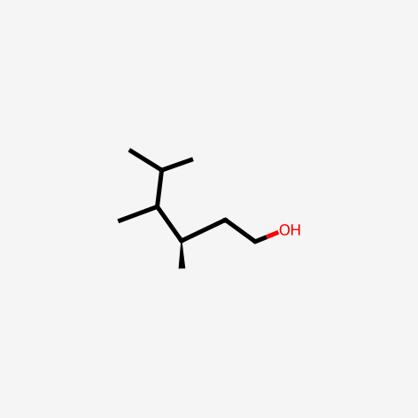 CC(C)C(C)[C@H](C)CCO